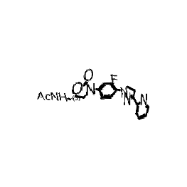 CC(=O)NC[C@H]1CN(c2ccc(-n3ccc(-c4ccccn4)n3)c(F)c2)C(=O)O1